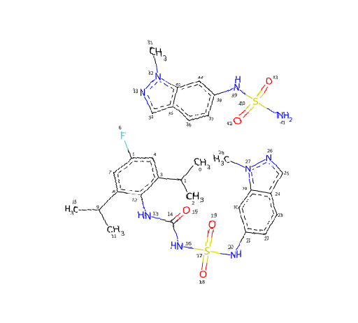 CC(C)c1cc(F)cc(C(C)C)c1NC(=O)NS(=O)(=O)Nc1ccc2cnn(C)c2c1.Cn1ncc2ccc(NS(N)(=O)=O)cc21